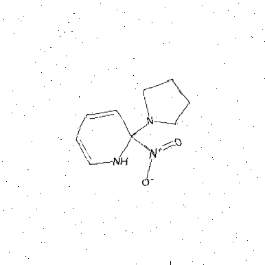 O=[N+]([O-])C1(N2CCCC2)C=CC=CN1